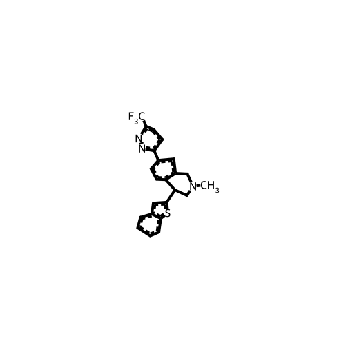 CN1Cc2cc(-c3ccc(C(F)(F)F)nn3)ccc2C(c2cc3ccccc3s2)C1